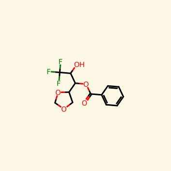 O=C(OC(C1COCO1)C(O)C(F)(F)F)c1ccccc1